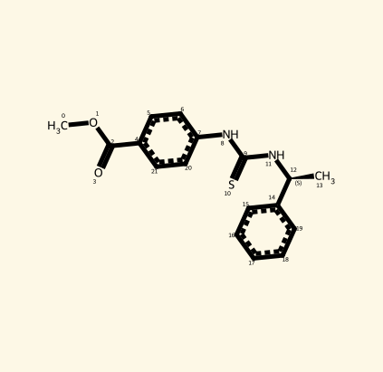 COC(=O)c1ccc(NC(=S)N[C@@H](C)c2ccccc2)cc1